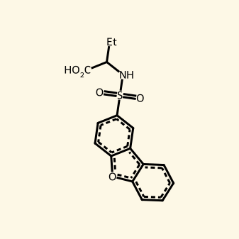 CCC(NS(=O)(=O)c1ccc2oc3ccccc3c2c1)C(=O)O